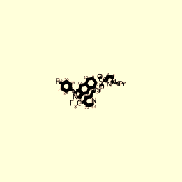 CC(C)n1ccc(S(=O)(=O)[C@H]2CCC3=Cc4c(cnn4-c4ccc(F)cc4)C[C@]3(C(=O)c3cc(C(F)(F)F)ccn3)C2)n1